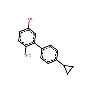 O=Cc1ccc(O)cc1-c1ccc(C2CC2)cc1